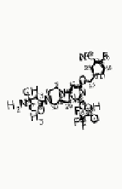 CC(C)(N)CC(=O)N1CCN2c3cc(OCc4ccc(F)c(C#N)c4)nc(=O)n3CC2C1.O=C(O)C(F)(F)F